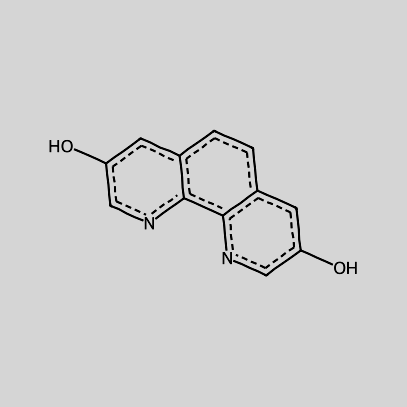 Oc1cnc2c(ccc3cc(O)cnc32)c1